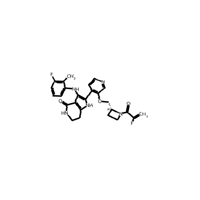 C=C(F)C(=O)N1CC[C@@H]1COc1cnccc1-c1[nH]c2c(c1Nc1cccc(F)c1C)C(=O)NCC2